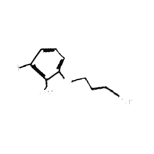 COc1c(I)cccc1OCCC[SiH3]